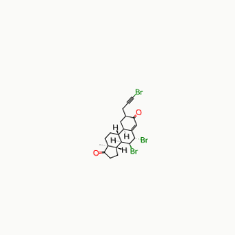 C[C@]12CC[C@H]3[C@@H]([C@H](Br)[C@@H](Br)C4=CC(=O)C(CC#CBr)C[C@@H]43)[C@@H]1CCC2=O